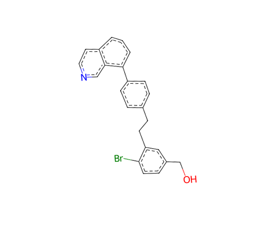 OCc1ccc(Br)c(CCc2ccc(-c3cccc4ccncc34)cc2)c1